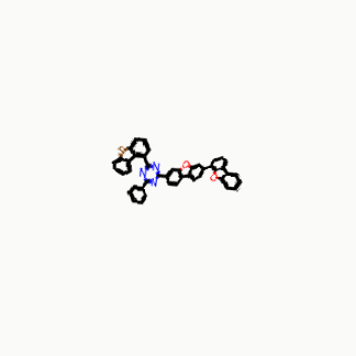 c1ccc(-c2nc(-c3ccc4c(c3)oc3cc(-c5cccc6c5oc5ccccc56)ccc34)nc(-c3cccc4sc5ccccc5c34)n2)cc1